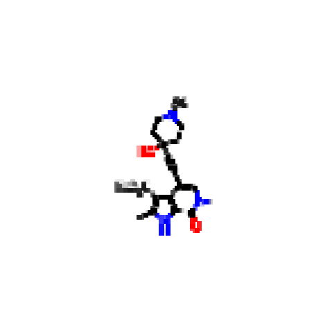 CCOC(=O)c1c(C)[nH]c2c(=O)n(C)cc(C#CC3(O)CCN(C(C)=O)CC3)c12